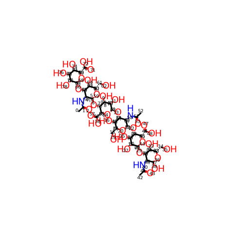 CC(=O)N[C@@H]1[C@H](O[C@H]2[C@H](O)[C@H](O)[C@H](O[C@H]3[C@H](O)[C@H](CO)O[C@@H](O[C@H]4[C@H](O)[C@H](O)[C@H](O[C@H]5[C@H](O)[C@H](CO)OC(O)[C@H]5NC(C)=O)O[C@H]4C(=O)O)[C@H]3NC(C)=O)O[C@H]2C(=O)O)O[C@@H](CO)[C@@H](O)[C@@H]1O[C@@H]1O[C@@H](C(=O)O)[C@@H](O)[C@H](O)[C@@H]1O